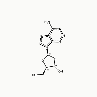 Nc1nnnc2c1ncn2[C@H]1C[C@H](O)[C@@H](CO)O1